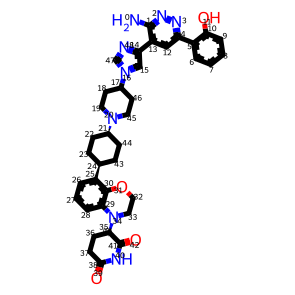 Nc1nnc(-c2ccccc2O)cc1-c1cn(C2CCN([C@H]3CC[C@H](c4cccc5c4OCCN5[C@@H]4CCC(=O)NC4=O)CC3)CC2)cn1